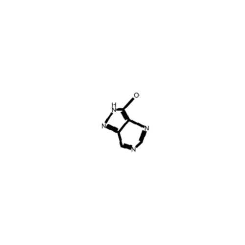 [O]c1[nH]nc2cncnc12